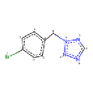 Brc1ccc(Cn2ncnn2)cc1